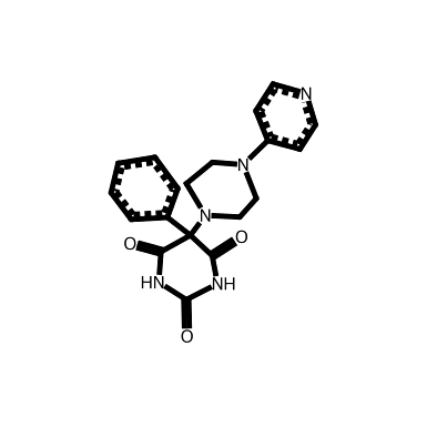 O=C1NC(=O)C(c2ccccc2)(N2CCN(c3ccncc3)CC2)C(=O)N1